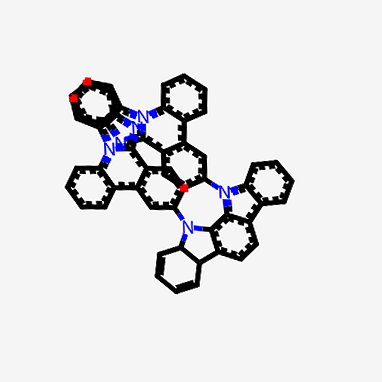 C1=CC2c3ccc4c5ccccc5n(-c5ccc6c(c5)c5ccccc5n5c7ccccc7nc65)c4c3N(c3ccc4c(c3)c3ccccc3n3c5ccccc5nc43)C2C=C1